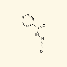 O=C=NNC(=O)c1ccccc1